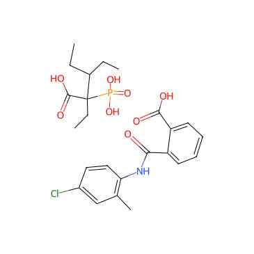 CCC(CC)C(CC)(C(=O)O)P(=O)(O)O.Cc1cc(Cl)ccc1NC(=O)c1ccccc1C(=O)O